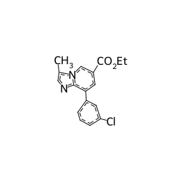 CCOC(=O)c1cc(-c2cccc(Cl)c2)c2ncc(C)n2c1